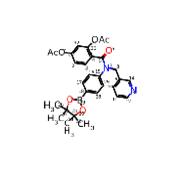 CC(=O)Oc1ccc(C(=O)N(Cc2cccnc2)c2ccc(B3OC(C)(C)C(C)(C)O3)cc2)c(OC(C)=O)c1